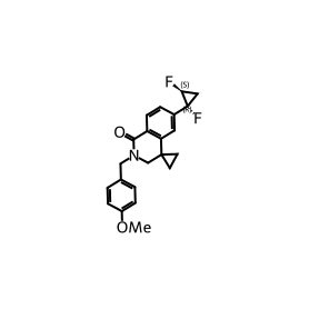 COc1ccc(CN2CC3(CC3)c3cc([C@]4(F)C[C@@H]4F)ccc3C2=O)cc1